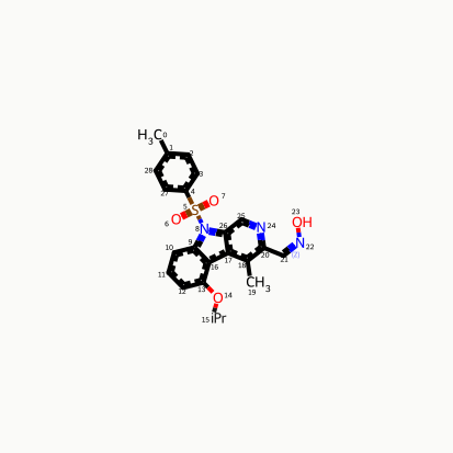 Cc1ccc(S(=O)(=O)n2c3cccc(OC(C)C)c3c3c(C)c(/C=N\O)ncc32)cc1